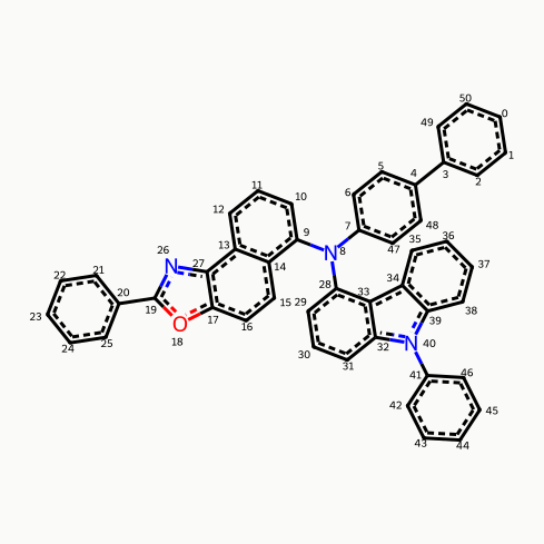 c1ccc(-c2ccc(N(c3cccc4c3ccc3oc(-c5ccccc5)nc34)c3cccc4c3c3ccccc3n4-c3ccccc3)cc2)cc1